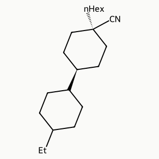 CCCCCC[C@]1(C#N)CC[C@@H](C2CCC(CC)CC2)CC1